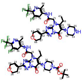 CCc1c(N2CCN(C(=O)OC(C)(C)C)CC2)c(=O)n2nc(C3=CCOCC3)nc2n1CC(=O)Nc1cc(F)c(C(F)(F)F)nc1C.CCc1c(N2CCNCC2)c(=O)n2nc(C3=CCOCC3)nc2n1CC(=O)Nc1cc(F)c(C(F)(F)F)nc1C